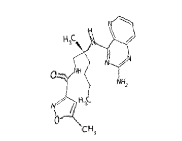 CCCC[C@](C)(CNC(=O)c1cc(C)on1)Nc1nc(N)nc2cccnc12